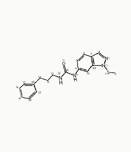 CSn1ncc2ccc(NC(=O)NCCCc3ccccc3)cc21